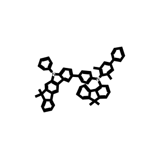 Cc1cc(-c2ccccc2)cc(C)c1N(c1ccc(-c2ccc3c(c2)c2cc4c(cc2n3-c2ccccc2)C(C)(C)c2ccccc2-4)cc1)c1cccc2c1-c1ccccc1C2(C)C